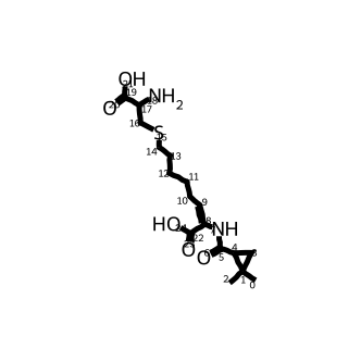 CC1(C)CC1C(=O)NC(=CCCCCCSCC(N)C(=O)O)C(=O)O